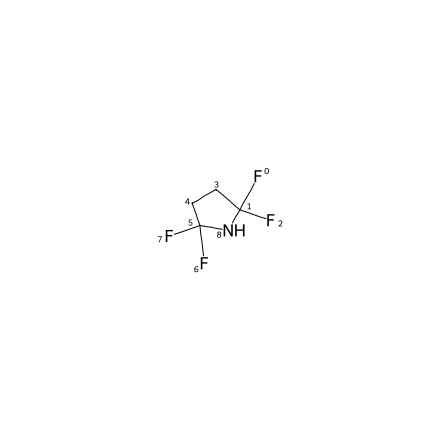 FC1(F)CCC(F)(F)N1